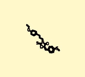 CCOc1ccc(CCCN2C(=O)/C(=C\c3ccc(SC)cc3)OC2=S)cc1